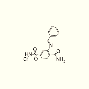 NC(=O)c1ccc(S(=O)(=O)NCl)cc1N=Cc1ccccc1